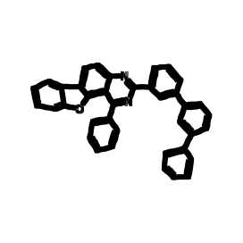 c1ccc(-c2cccc(-c3cccc(-c4nc(-c5ccccc5)c5c(ccc6c7ccccc7oc65)n4)c3)c2)cc1